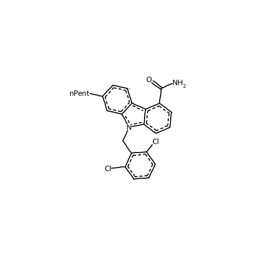 CCCCCc1c[c]c2c3c(C(N)=O)cccc3n(Cc3c(Cl)cccc3Cl)c2c1